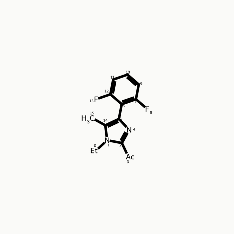 CCn1c(C(C)=O)nc(-c2c(F)cccc2F)c1C